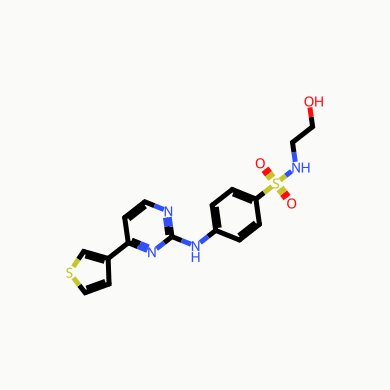 O=S(=O)(NCCO)c1ccc(Nc2nccc(-c3ccsc3)n2)cc1